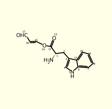 N[C@@H](Cc1c[nH]c2ccccc12)C(=O)OC=CC=O